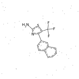 Nc1nc(-c2ccc3ccccc3c2)c(C(F)(F)F)s1